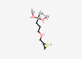 CCO[Si](C)(CCCOCC1CS1)OCC